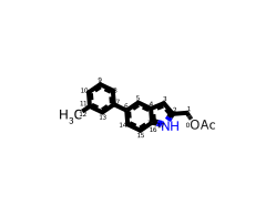 CC(=O)OCc1cc2cc(-c3cccc(C)c3)ccc2[nH]1